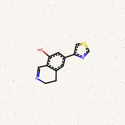 Oc1cc(-c2cscn2)cc2c1C=NCC2